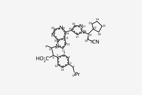 CC(C)Cc1ccc(C(C(=O)O)C(C)n2ccc3c(-c4cnn([C@H](CC#N)C5CCCC5)c4)ncnc32)cc1